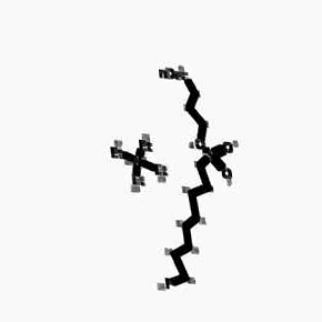 CCCCCCCCCCCCCOS(=O)(=O)CCCCCCCCF.CC[N+](CC)(CC)CC